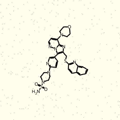 NS(=O)(=O)N1CCN(c2ccc(-c3c(CSc4ccc5ccccc5n4)nc4c(N5CCOCC5)ccnn34)cn2)CC1